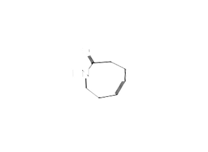 O=C1CC/C=C\CCN1